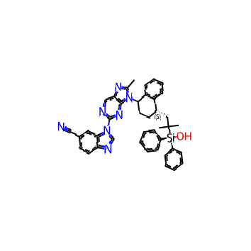 Cc1nc2cnc(-n3cnc4ccc(C#N)cc43)nc2n1C1CC[C@@H](CC(C)(C)[Si](O)(c2ccccc2)c2ccccc2)c2ccccc21